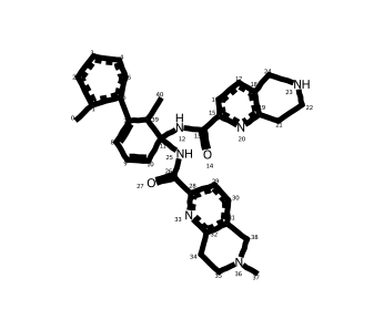 Cc1ccccc1C1=CC=CC(NC(=O)c2ccc3c(n2)CCNC3)(NC(=O)c2ccc3c(n2)CCN(C)C3)C1C